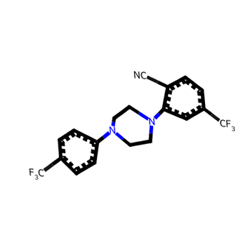 N#Cc1ccc(C(F)(F)F)cc1N1CCN(c2ccc(C(F)(F)F)cc2)CC1